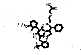 COc1cccc(-c2c(C)c(Cc3c(F)cccc3C(F)(F)F)c3n(c2=O)C(C(NCCOCC(=O)O)c2ccccc2)CN3)c1F